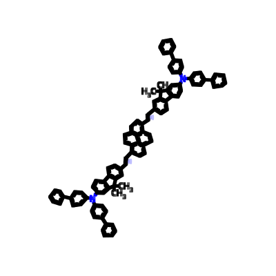 CC1(C)c2cc(/C=C/c3ccc4ccc5c(/C=C/c6ccc7c(c6)C(C)(C)c6cc(N(c8ccc(-c9ccccc9)cc8)c8ccc(-c9ccccc9)cc8)ccc6-7)ccc6ccc3c4c65)ccc2-c2ccc(N(c3ccc(-c4ccccc4)cc3)c3ccc(-c4ccccc4)cc3)cc21